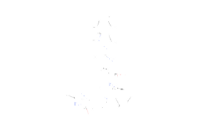 C=C1NC(=O)C2(CCN(c3ccccc3NC(=O)c3csc(-n4cc5ccccc5n4)n3)CC2)N1